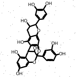 Oc1cc(O)c2c(c1)OC1(c3ccc(O)c(O)c3)Oc3cc4c(c(O)c3C2C1O)CC(O)C(c1ccc(O)c(O)c1)O4